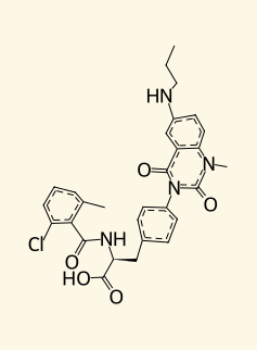 CCCNc1ccc2c(c1)c(=O)n(-c1ccc(C[C@H](NC(=O)c3c(C)cccc3Cl)C(=O)O)cc1)c(=O)n2C